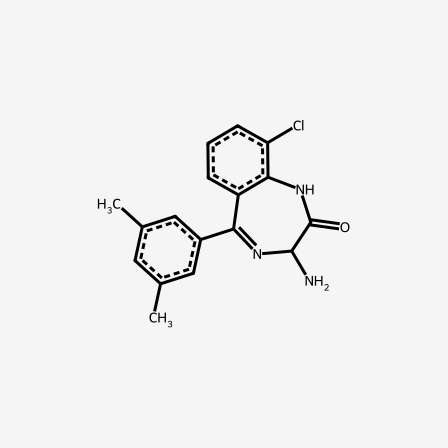 Cc1cc(C)cc(C2=NC(N)C(=O)Nc3c(Cl)cccc32)c1